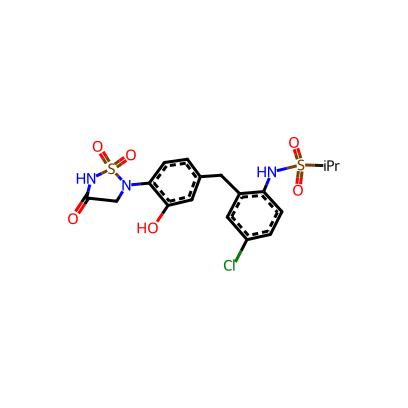 CC(C)S(=O)(=O)Nc1ccc(Cl)cc1Cc1ccc(N2CC(=O)NS2(=O)=O)c(O)c1